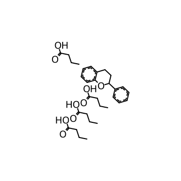 CCCC(=O)O.CCCC(=O)O.CCCC(=O)O.CCCC(=O)O.c1ccc(C2CCc3ccccc3O2)cc1